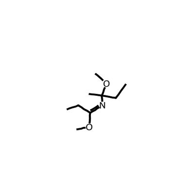 CC/C(=N\C(C)(CC)OC)OC